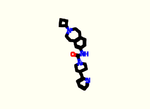 O=C(Nc1ccc2c(c1)CCN(C1CCC1)CC2)N1CCC(c2ccccn2)CC1